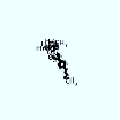 CCCCCc1ccc(-c2ccn(CCC(C)(C(=O)NO)S(C)(=O)=O)c(=O)c2)cc1